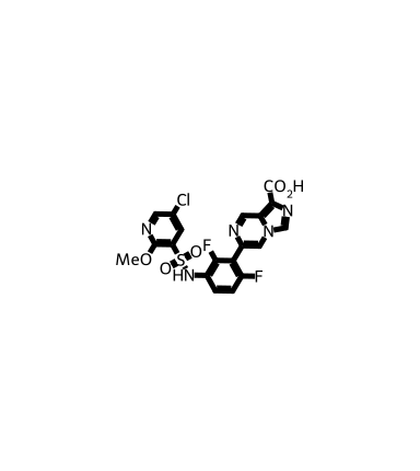 COc1ncc(Cl)cc1S(=O)(=O)Nc1ccc(F)c(-c2cn3cnc(C(=O)O)c3cn2)c1F